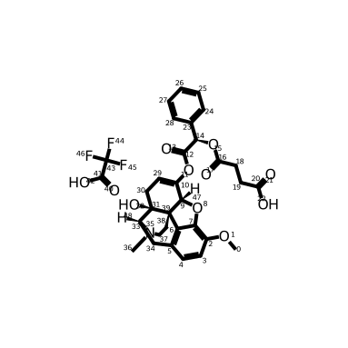 COc1ccc2c3c1O[C@H]1C(OC(=O)[C@H](OC(=O)CCC(=O)O)c4ccccc4)=CC[C@@]4(O)[C@@H](C2)N(C)CC[C@]314.O=C(O)C(F)(F)F